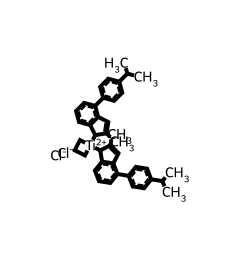 CC1=Cc2c(-c3ccc(C(C)C)cc3)cccc2[CH]1[Ti+2]1([CH]2C(C)=Cc3c(-c4ccc(C(C)C)cc4)cccc32)[CH2]C[CH2]1.[Cl-].[Cl-]